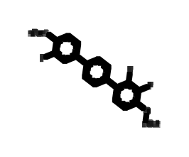 CCCCCCCCOc1ccc(-c2ccc(-c3ccc(CCCCC)c(F)c3)cc2)c(F)c1F